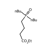 CCCCP(=O)(CCCC)CCCC(=O)OCC